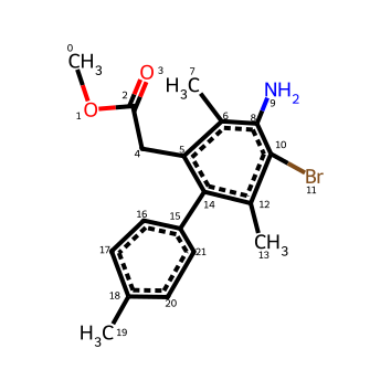 COC(=O)Cc1c(C)c(N)c(Br)c(C)c1-c1ccc(C)cc1